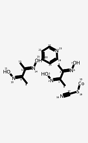 CC(=NO)C(C)=NO.CC(=NO)C(C)=NO.N#C[S][Co].c1ccncc1